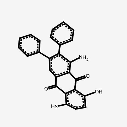 Nc1c2c(cc(-c3ccccc3)c1-c1ccccc1)C(=O)c1c(S)ccc(O)c1C2=O